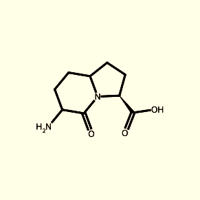 NC1CCC2CC[C@@H](C(=O)O)N2C1=O